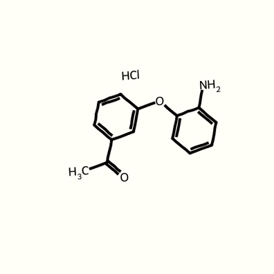 CC(=O)c1cccc(Oc2ccccc2N)c1.Cl